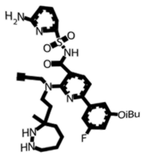 C#CCN(CCC1(C)CCCCNN1)c1nc(-c2cc(F)cc(OCC(C)C)c2)ccc1C(=O)NS(=O)(=O)c1cccc(N)n1